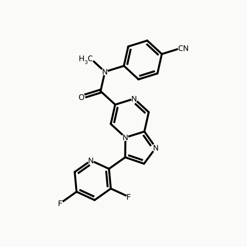 CN(C(=O)c1cn2c(-c3ncc(F)cc3F)cnc2cn1)c1ccc(C#N)cc1